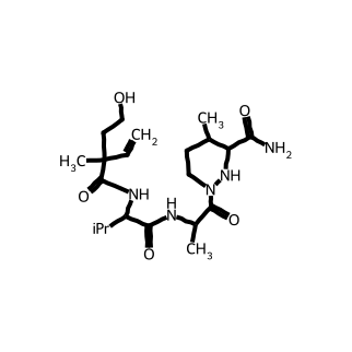 C=CC(C)(CCO)C(=O)NC(C(=O)NC(C)C(=O)N1CCC(C)C(C(N)=O)N1)C(C)C